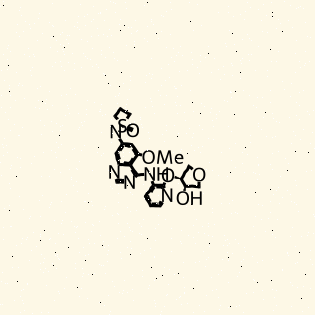 COc1cc(N=S2(=O)CCC2)cc2ncnc(Nc3cccnc3O[C@H]3COC[C@H]3O)c12